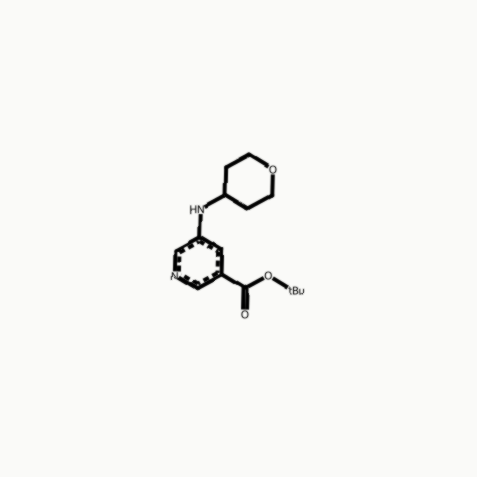 CC(C)(C)OC(=O)c1cncc(NC2CCOCC2)c1